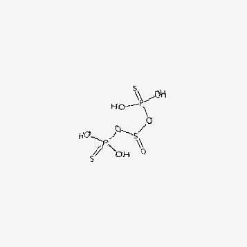 O=S(OP(O)(O)=S)OP(O)(O)=S